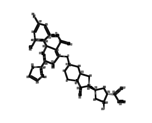 COC(=O)C1=C(CN2CCN3C(=O)N([C@H]4C[C@H](C(=O)OC)N(C)C4)CC3C2)NC(c2nccs2)=NC1c1ccc(F)cc1Cl